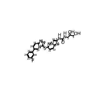 O=C(NCC(O)CO)Nc1cn2nc(Sc3nnc4ccc(-c5cccc(F)c5)cn34)ccc2n1